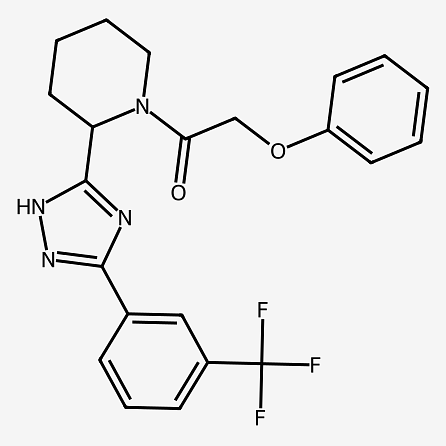 O=C(COc1ccccc1)N1CCCCC1c1nc(-c2cccc(C(F)(F)F)c2)n[nH]1